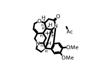 CC(C)=O.COc1cc2c(cc1OC)[C@@]13CCN4CC5=CCO[C@H]6CC(=O)N2[C@H]1[C@H]6[C@H]5C[C@H]43